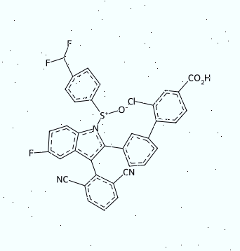 N#Cc1cccc(C#N)c1-c1c(-c2cccc(-c3ccc(C(=O)O)cc3Cl)c2)n([S+]([O-])c2ccc(C(F)F)cc2)c2ccc(F)cc12